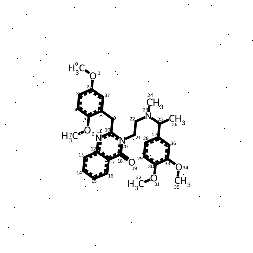 COc1ccc(OC)c(Cc2nc3ccccc3c(=O)n2CCN(C)C(C)c2ccc(OC)c(OC)c2)c1